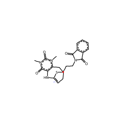 Cn1c2c(c(=O)n(C)c1=O)N/C(SCCCN1C(=O)c3ccccc3C1=O)=C/CCC2